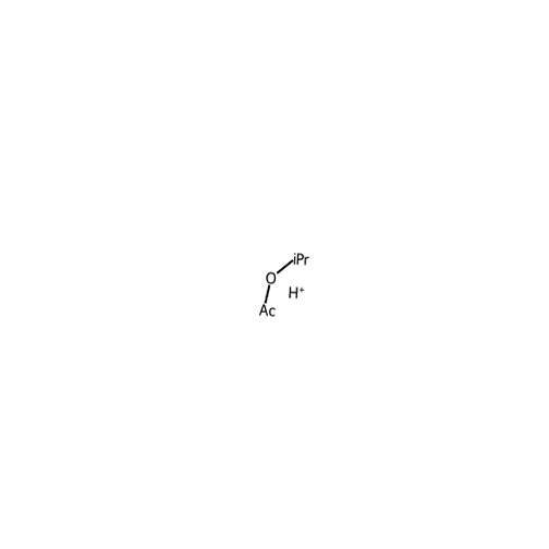 CC(=O)OC(C)C.[H+]